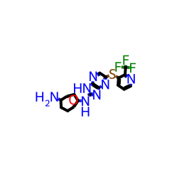 NC1CCC2OC1CC2Nc1nc2nc(Sc3cccnc3C(F)(F)F)cnc2[nH]1